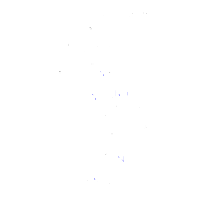 COc1ccc(-c2cccc3cnc(Nc4ccc(CN5CCN(C)CC5)cc4)nc23)cc1